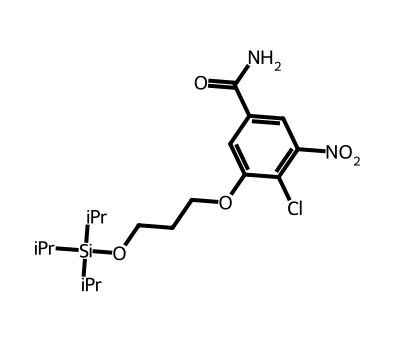 CC(C)[Si](OCCCOc1cc(C(N)=O)cc([N+](=O)[O-])c1Cl)(C(C)C)C(C)C